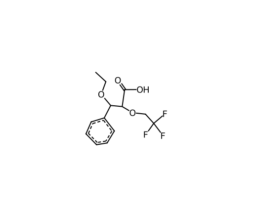 CCOC(c1ccccc1)C(OCC(F)(F)F)C(=O)O